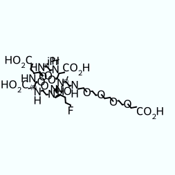 CC(C)[C@H](NC(=O)C(CCC(=O)O)NC(=O)[C@H](CC(=O)O)NC(=O)Cn1cc(CCCF)nn1)C(=O)NC(CC(=O)O)C(=O)N[C@@H](C)C(=O)NCCOCCOCCOCCOCCC(=O)O